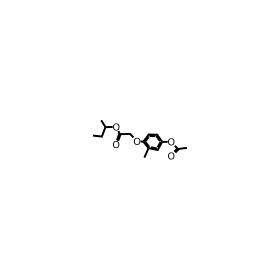 CCC(C)OC(=O)COc1ccc(OC(C)=O)cc1C